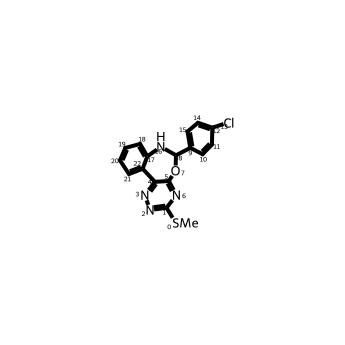 CSc1nnc2c(n1)OC(c1ccc(Cl)cc1)Nc1ccccc1-2